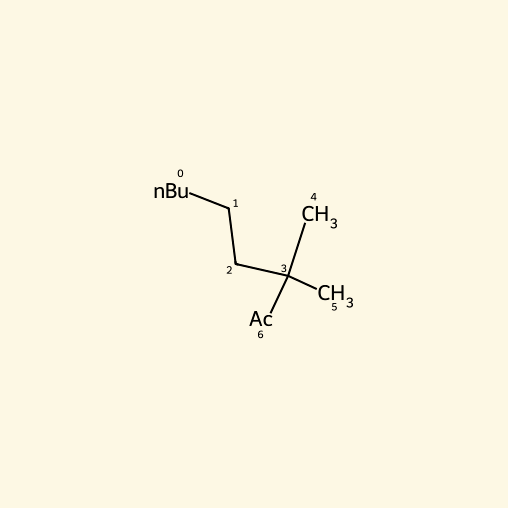 CCCCCCC(C)(C)C(C)=O